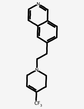 FC(F)(F)C1=CCN(CCc2ccc3cnccc3c2)CC1